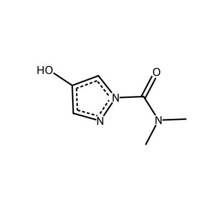 CN(C)C(=O)n1cc(O)cn1